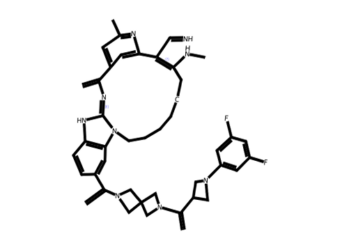 C=C1/N=C2\Nc3ccc(C(=C)N4CC5(C4)CN(C(=C)C4CN(c6cc(F)cc(F)c6)C4)C5)cc3N2CCCCCC/C(NC)=C(/C=N)c2cc1cc(C)n2